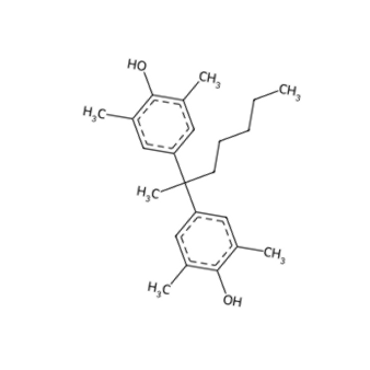 CCCCCC(C)(c1cc(C)c(O)c(C)c1)c1cc(C)c(O)c(C)c1